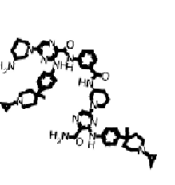 CC1(c2ccc(Nc3nc(N4CCC[C@@H](NC(=O)c5cccc(NC(=O)c6ncc(N7CCC[C@@H](N)C7)nc6Nc6ccc(C7(C)CCN(C8CC8)CC7)cc6)c5)C4)cnc3C(N)=O)cc2)CCN(C2CC2)CC1